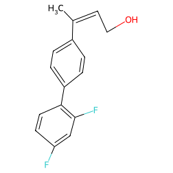 C/C(=C/CO)c1ccc(-c2ccc(F)cc2F)cc1